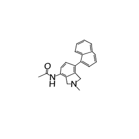 CC(=O)Nc1ccc(-c2cccc3ccccc23)c2c1CN(C)C2